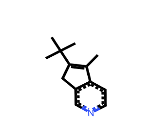 CC1=C(C(C)(C)C)Cc2cnccc21